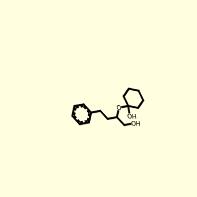 OCC(CCc1ccccc1)OC1(O)CCCCC1